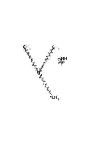 CCCCCCCCCCCCCCCCN(CCCCCCCCCCCCCCCC)CCCCCCCCCCCCCCCC.O=C(O)C(F)(F)F